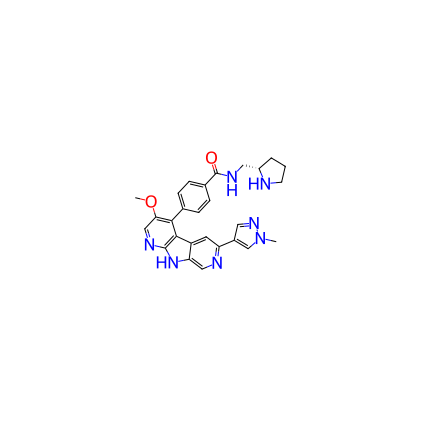 COc1cnc2[nH]c3cnc(-c4cnn(C)c4)cc3c2c1-c1ccc(C(=O)NC[C@@H]2CCCN2)cc1